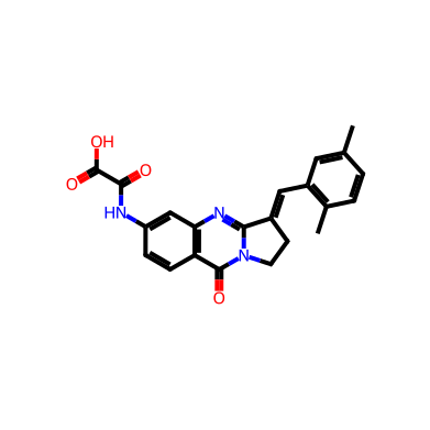 Cc1ccc(C)c(C=C2CCn3c2nc2cc(NC(=O)C(=O)O)ccc2c3=O)c1